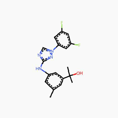 Cc1cc(Nc2ncn(-c3cc(F)cc(F)c3)n2)cc(C(C)(C)O)c1